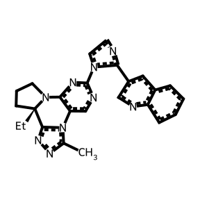 CC[C@@]12CCCN1c1nc(-n3ccnc3-c3cnc4ccccc4c3)ncc1-n1c(C)nnc12